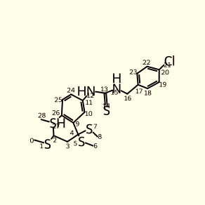 CSC1CC(SC)(SC)c2cc(NC(=S)NCc3ccc(Cl)cc3)ccc2[SH]1C